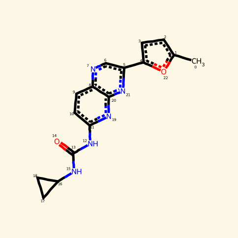 Cc1ccc(-c2cnc3ccc(NC(=O)NC4CC4)nc3n2)o1